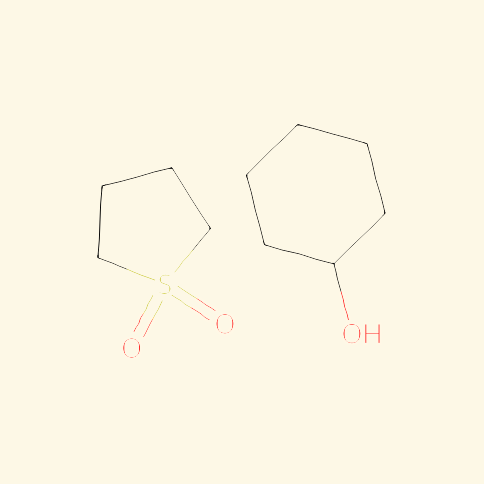 O=S1(=O)CCCC1.OC1CCCCC1